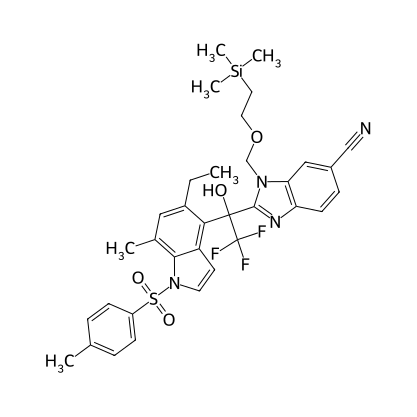 CCc1cc(C)c2c(ccn2S(=O)(=O)c2ccc(C)cc2)c1C(O)(c1nc2ccc(C#N)cc2n1COCC[Si](C)(C)C)C(F)(F)F